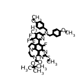 COc1ccc(CN(Cc2ccc(OC)cc2)c2cc(C)c(C(F)(F)F)c(-c3c4c5c6c(nc(SC)nc6c3F)N(C(=O)OC(C)(C)C)CCN5CC4)n2)cc1